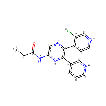 O=C(CC(F)(F)F)Nc1cnc(-c2ccncc2F)c(-c2cccnc2)n1